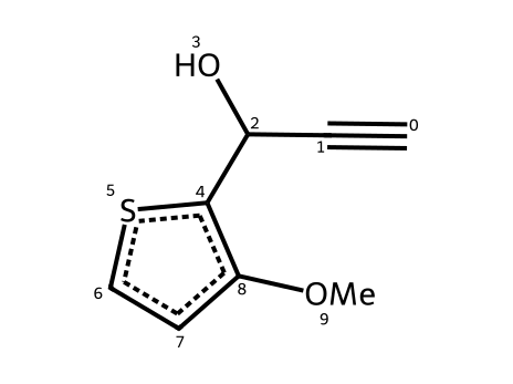 C#CC(O)c1sccc1OC